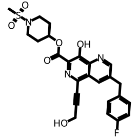 CS(=O)(=O)N1CCC(OC(=O)c2nc(C#CCO)c3cc(Cc4ccc(F)cc4)cnc3c2O)CC1